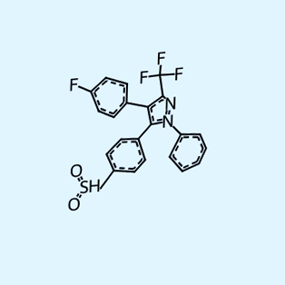 O=[SH](=O)Cc1ccc(-c2c(-c3ccc(F)cc3)c(C(F)(F)F)nn2-c2ccccc2)cc1